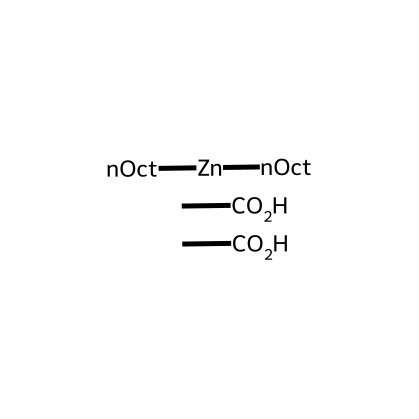 CC(=O)O.CC(=O)O.CCCCCCC[CH2][Zn][CH2]CCCCCCC